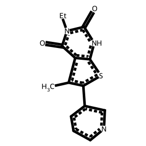 CCn1c(=O)[nH]c2sc(-c3cccnc3)c(C)c2c1=O